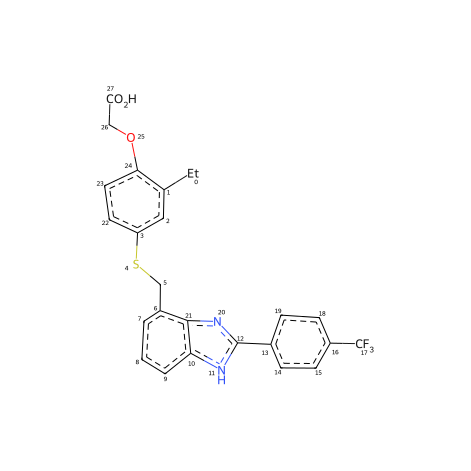 CCc1cc(SCc2cccc3[nH]c(-c4ccc(C(F)(F)F)cc4)nc23)ccc1OCC(=O)O